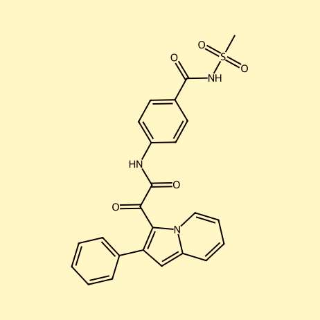 CS(=O)(=O)NC(=O)c1ccc(NC(=O)C(=O)c2c(-c3ccccc3)cc3ccccn23)cc1